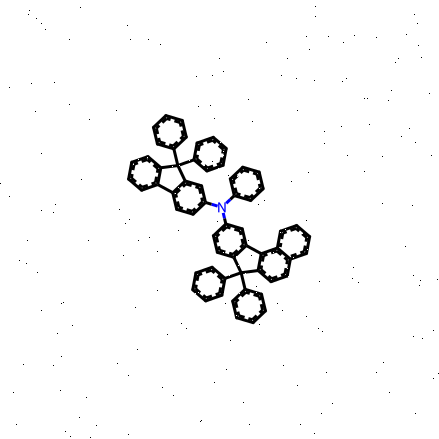 c1ccc(N(c2ccc3c(c2)-c2c(ccc4ccccc24)C3(c2ccccc2)c2ccccc2)c2ccc3c(c2)C(c2ccccc2)(c2ccccc2)c2ccccc2-3)cc1